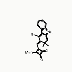 CCC1=c2c([nH]c3ccccc23)=CC(C)(C)C1=Cc1c(OC)c(=O)c1=O